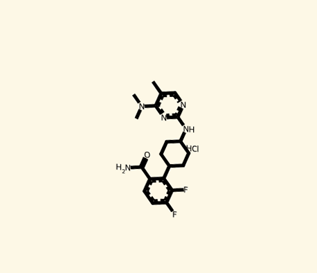 Cc1cnc(NC2CCC(c3c(C(N)=O)ccc(F)c3F)CC2)nc1N(C)C.Cl